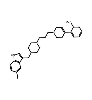 COc1ccccc1C1=CCN(CCCN2CCC(Cc3c[nH]c4ccc(F)cc34)CC2)CC1